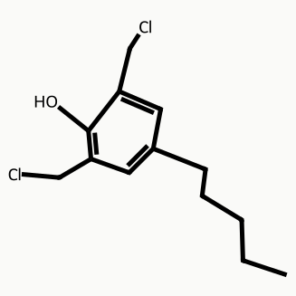 CCCCCc1cc(CCl)c(O)c(CCl)c1